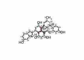 CC1=C[C@H]2c3c(O)cc(-c4cc5ccc(O)cc5o4)cc3O[C@@]3(c4ccc(O)cc4O)Oc4cc(O)ccc4[C@H](C1)[C@@H]23